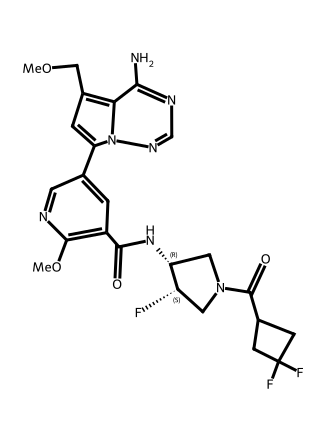 COCc1cc(-c2cnc(OC)c(C(=O)N[C@@H]3CN(C(=O)C4CC(F)(F)C4)C[C@@H]3F)c2)n2ncnc(N)c12